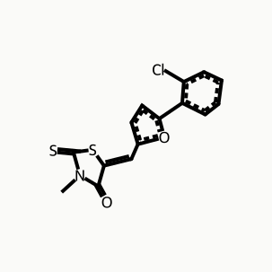 CN1C(=O)C(=Cc2ccc(-c3ccccc3Cl)o2)SC1=S